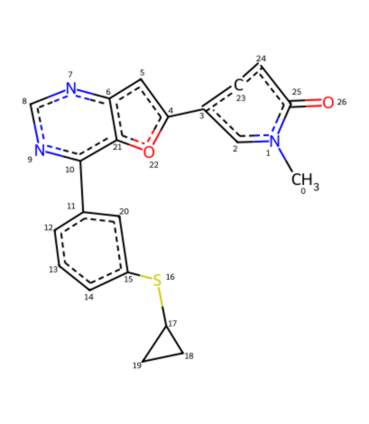 Cn1cc(-c2cc3ncnc(-c4cccc(SC5CC5)c4)c3o2)ccc1=O